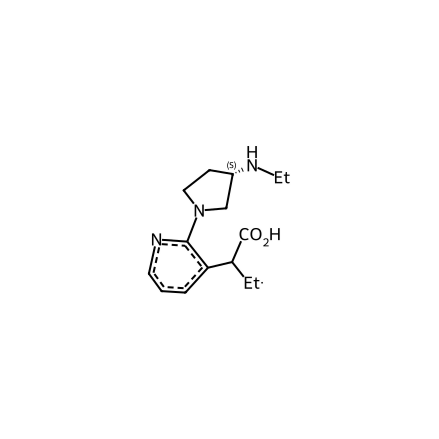 C[CH]C(C(=O)O)c1cccnc1N1CC[C@H](NCC)C1